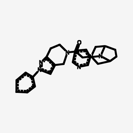 O=C(CN1CC2CCC(C1)N2c1cccnc1)N1CCc2nn(-c3ccccc3)cc2C1